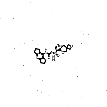 NS(=O)(=NC(=O)Nc1c2c(nc3c1CCC3)CCC2)c1cnn2c1OCC1(COC1)C2